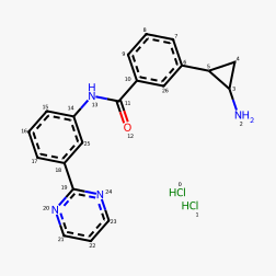 Cl.Cl.NC1CC1c1cccc(C(=O)Nc2cccc(-c3ncccn3)c2)c1